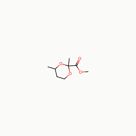 COC(=O)C1(C)OCCC(C)O1